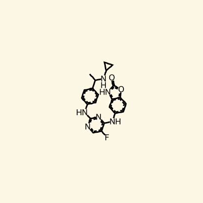 CC(NC1CC1)c1ccc(Nc2ncc(F)c(Nc3ccc4oc(=O)[nH]c4c3)n2)cc1